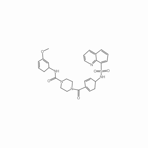 COC1=CC(NC(=O)N2CCN(C(=O)C3=CCC(NS(=O)(=O)c4cccc5cccnc45)C=C3)CC2)CC=C1